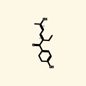 CC/C(=C\C=C(/C)O)C(=O)C1=CC=C(O)CC1